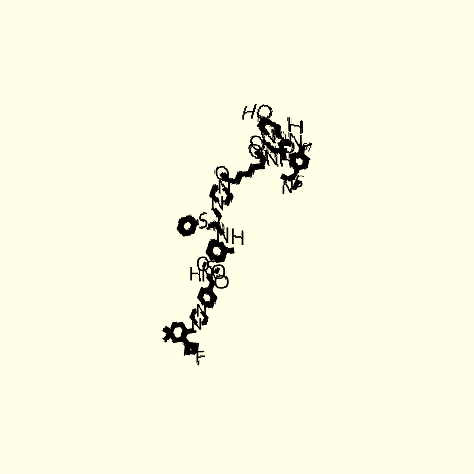 Cc1cc(S(=O)(=O)NC(=O)c2ccc(N3CCN(CC4=C(C56CC(F)(C5)C6)CC(C)(C)CC4)CC3)cc2)ccc1N[C@H](CCN1CCN(C(=O)CCCCCC(=O)N[C@H](C(=O)N2C[C@H](O)C[C@H]2C(=O)N[C@@H](C)c2ccc(-c3scnc3C)cc2)C(C)(C)C)CC1)CSc1ccccc1